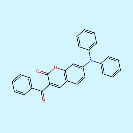 O=C(c1ccccc1)c1cc2ccc(N(c3ccccc3)c3ccccc3)cc2oc1=O